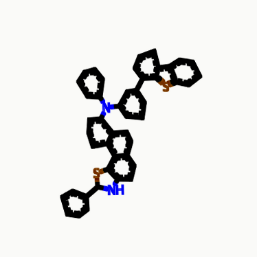 c1ccc(C2Nc3ccc4ccc5c(N(c6ccccc6)c6cccc(-c7cccc8c7sc7ccccc78)c6)cccc5c4c3S2)cc1